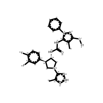 CCOc1nn(-c2ccccc2)c(NC(=O)N[C@@H]2CN(c3n[nH]nc3C)C[C@H]2c2ccc(F)c(F)c2)c1C